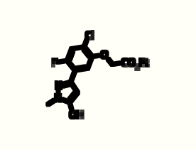 CCOC(=O)COc1cc(-c2cc(O)n(C)n2)c(F)cc1Cl